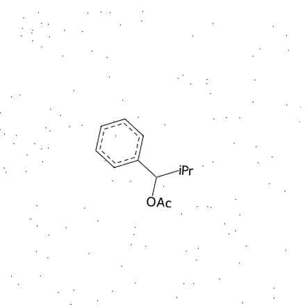 CC(=O)OC(c1ccccc1)C(C)C